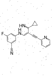 N#Cc1cc(F)cc(N/C=C(/C#Cc2ccccn2)C(=N)C2CC2)c1